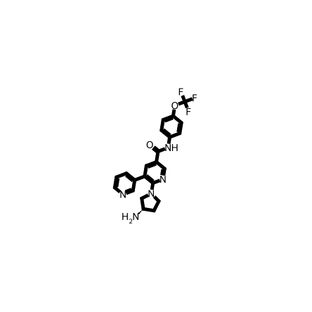 N[C@H]1CCN(c2ncc(C(=O)Nc3ccc(OC(F)(F)F)cc3)cc2-c2cccnc2)C1